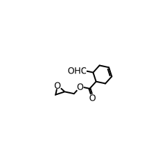 O=CC1CC=CCC1C(=O)OCC1CO1